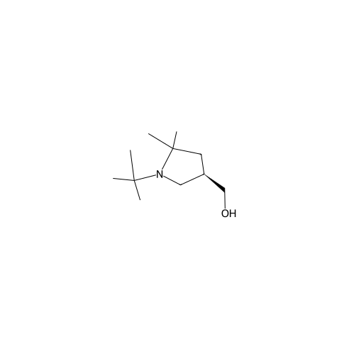 CC(C)(C)N1C[C@H](CO)CC1(C)C